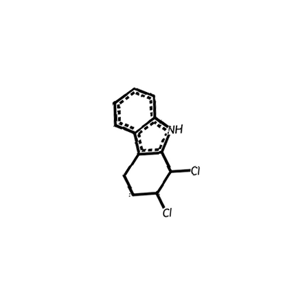 ClC1[C]Cc2c([nH]c3ccccc23)C1Cl